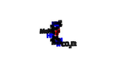 CCOC(=O)c1nc2cc(NC(=O)/C(NC)=C(/C=N)C(=O)N3CCC3)ccn2n1